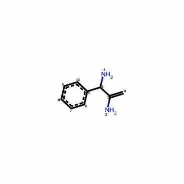 C=C(N)C(N)c1ccccc1